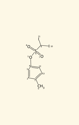 Cc1ccc(OS(=O)(=O)C(I)I)cc1